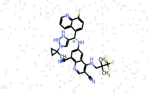 CC1(N2C=C([C@@H](Nc3cc(C#N)c4ncc(C#N)c(NCC(C)(C)C(F)(F)F)c4c3)c3ccc(F)c4ncccc34)NN2)CC1